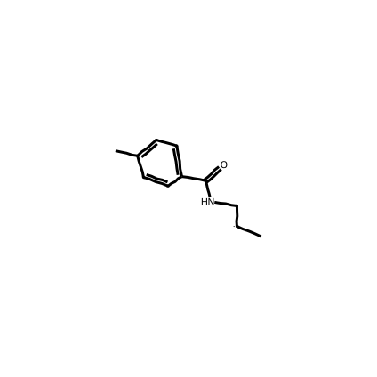 C[CH]CNC(=O)c1ccc(C)cc1